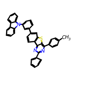 Cc1ccc(-c2nc(-c3ccccc3)nc3c2sc2cc(-c4cccc(-n5c6ccccc6c6ccccc65)c4)ccc23)cc1